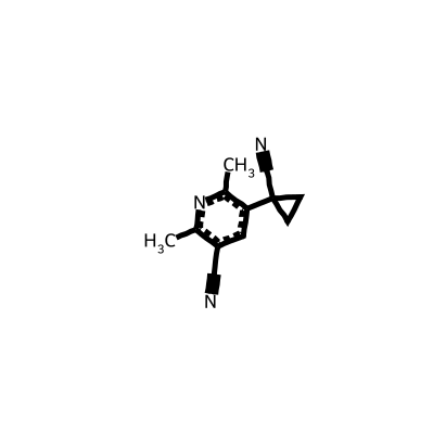 Cc1nc(C)c(C2(C#N)CC2)cc1C#N